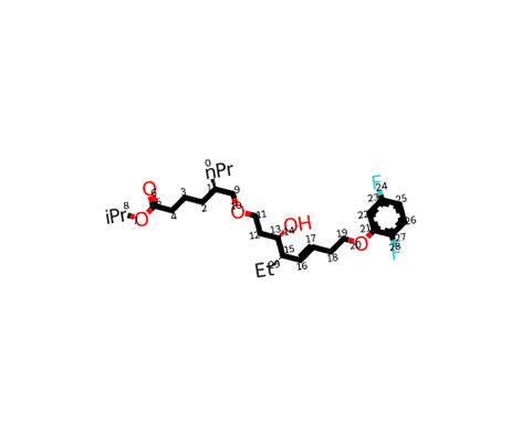 CCC[C@H](CCCC(=O)OC(C)C)COCC[C@@H](O)[C@H](/C=C/CCOc1cc(F)ccc1F)CC